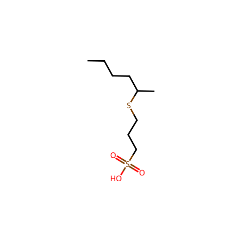 CCCCC(C)SCCCS(=O)(=O)O